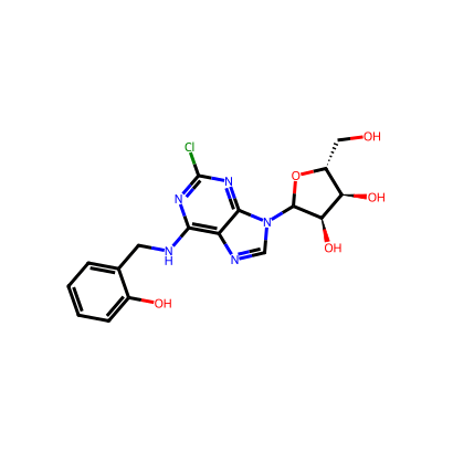 OC[C@H]1OC(n2cnc3c(NCc4ccccc4O)nc(Cl)nc32)[C@H](O)[C@@H]1O